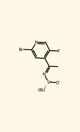 C/C(=N\[S@+]([O-])C(C)(C)C)c1cc(Br)ncc1F